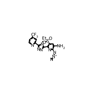 CCS(=O)(=O)c1cc(N)c(N=[N+]=[N-])nc1-c1nnc(-c2cc(C(F)(F)F)ccn2)n1C